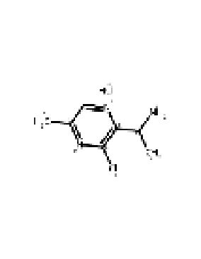 Cc1cnc(C(C)N)c(Cl)n1.Cl